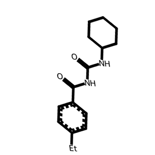 CCc1ccc(C(=O)NC(=O)NC2CCCCC2)cc1